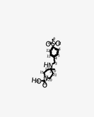 CC1(NCc2ccc(S(C)(=O)=O)cc2)CCN(C(=O)O)CC1